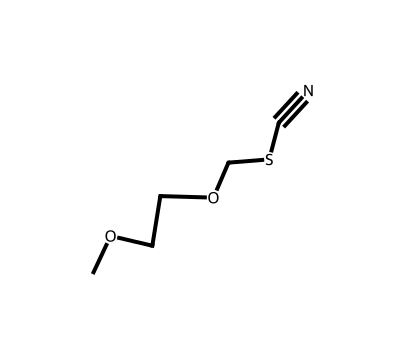 COCCOCSC#N